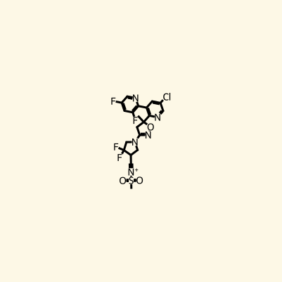 CC1(c2ncc(Cl)cc2-c2ncc(F)cc2F)CC(N2CC(C#[N+]S(C)(=O)=O)C(F)(F)C2)=NO1